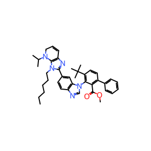 CCCCCCn1c(-c2ccc3ncn(-c4c(C(C)(C)C)ccc(-c5ccccc5)c4C(=O)OC)c3c2)nc2c1N(C(C)C)CC=C2